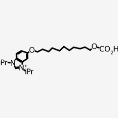 CC(C)n1c[n+](C(C)C)c2cc(OCCCCCCCCCCCOC(=O)O)ccc21